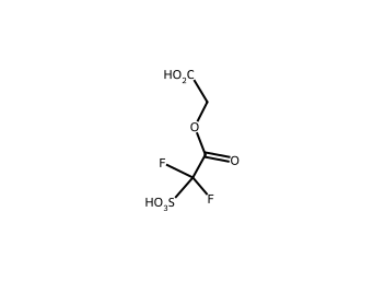 O=C(O)COC(=O)C(F)(F)S(=O)(=O)O